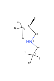 C[C@@H](CNCC(C)(C)C)C(C)(C)C